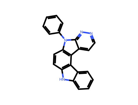 c1ccc(-n2c3ccc4[nH]c5ccccc5c4c3c3ccnnc32)cc1